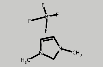 CN1C=CN(C)C1.F[B-](F)(F)F